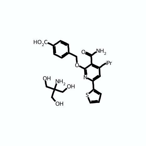 CC(C)c1cc(-c2cccs2)nc(OCc2ccc(C(=O)O)cc2)c1C(N)=O.NC(CO)(CO)CO